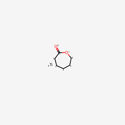 O=C1CCCCCO1.[Ti]